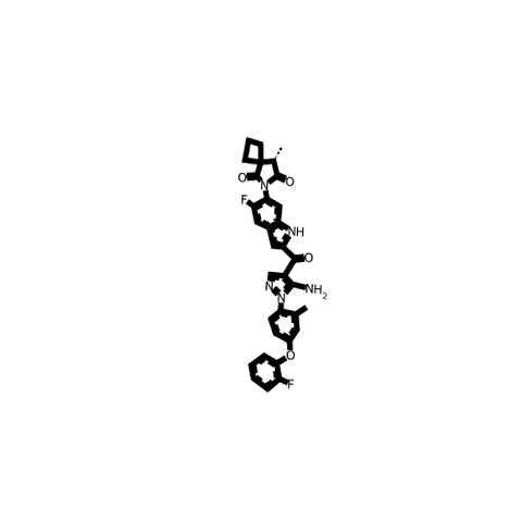 Cc1cc(Oc2ccccc2F)ccc1-n1ncc(C(=O)c2cc3cc(F)c(N4C(=O)[C@@H](C)C5(CCC5)C4=O)cc3[nH]2)c1N